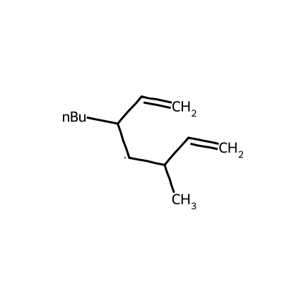 C=CC(C)[CH]C(C=C)CCCC